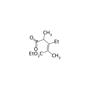 CCOC(=O)C(C)=C(CC)C(C)P(=O)=O